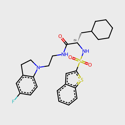 O=C(NCCN1CCc2cc(F)ccc21)[C@H](CC1CCCCC1)NS(=O)(=O)c1cc2ccccc2s1